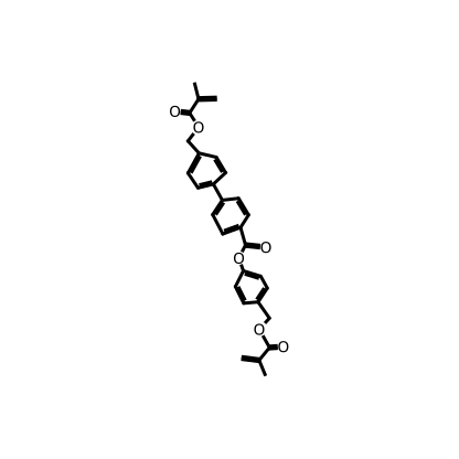 C=C(C)C(=O)OCc1ccc(OC(=O)c2ccc(-c3ccc(COC(=O)C(=C)C)cc3)cc2)cc1